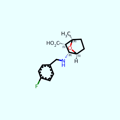 C[C@]12CC[C@H](O1)[C@H](NCc1ccc(F)cc1)[C@@H]2C(=O)O